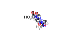 Cc1noc(C(F)(F)F)c1C(=O)Nc1ccc(CC(C(=O)O)[N@+](N)(c2cc(=O)c2=O)C(C)C)cc1